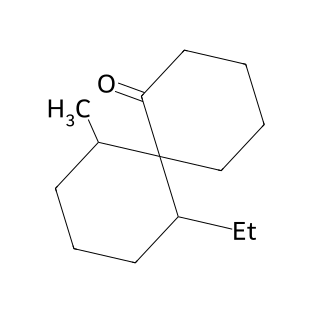 CCC1CCCC(C)C12CCCCC2=O